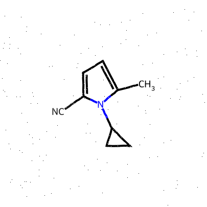 Cc1ccc(C#N)n1C1CC1